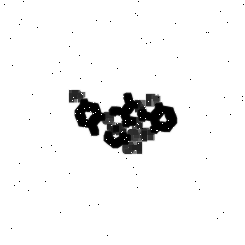 CCc1cccc(CC)c1-c1nc(C)c(COc2cc(C(C)C)ccc2C)c(N2SCCC2(O)O)n1